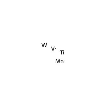 [Mn].[Ti].[V].[W]